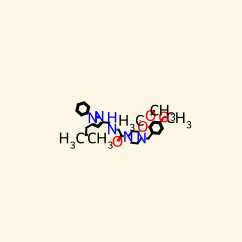 COc1ccc(CN2CCN(C(=O)CNCc3cc(CC(C)C)n(-c4ccccc4)n3)CC2)c(OC)c1OC